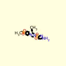 CC#C[C@H]1CN(S(=O)(=O)c2ccc(N)nc2)CCN1c1ccc(S(=O)(=O)CC)cc1